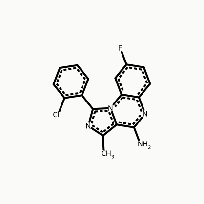 Cc1nc(-c2ccccc2Cl)n2c1c(N)nc1ccc(F)cc12